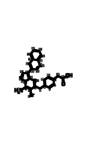 Nc1c(Br)c(Cc2ccc(CC(=O)O)cc2)nc2c(-c3cnc4ccccc4c3)cnn12